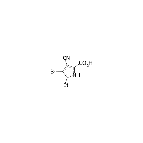 CCc1[nH]c(C(=O)O)c(C#N)c1Br